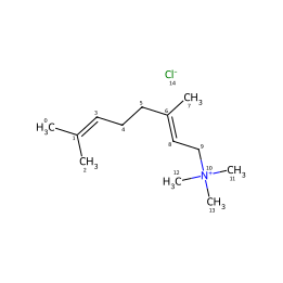 CC(C)=CCCC(C)=CC[N+](C)(C)C.[Cl-]